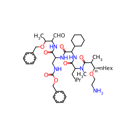 CCCCCC[C@@H](OCCN)C(C)C(=O)N(C)C(CC(C)C)C(=O)NC(C(=O)NC(CNC(=O)OCc1ccccc1)C(=O)NC(C=O)C(C)OCc1ccccc1)C1CCCCC1